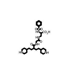 O=C(CNC(=O)C(CCC1CCNCC1)CCC1CCNCC1)NCC(NS(=O)(=O)c1ccccc1)C(=O)O